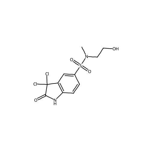 CN(CCO)S(=O)(=O)c1ccc2c(c1)C(Cl)(Cl)C(=O)N2